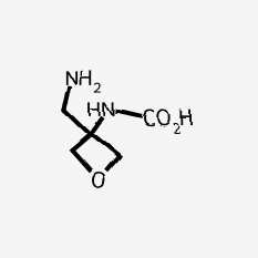 NCC1(NC(=O)O)COC1